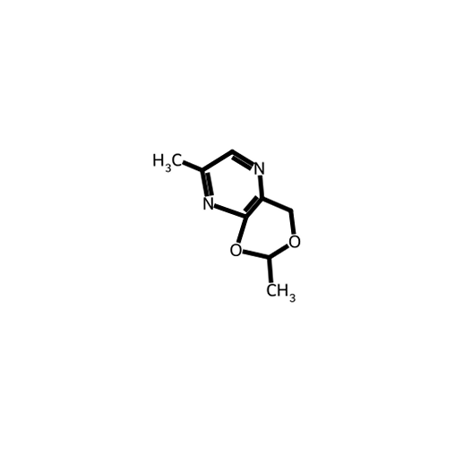 Cc1cnc2c(n1)OC(C)OC2